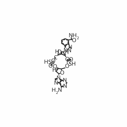 C=C1[C@H]2OP(=O)(S)OCC3O[C@@H](n4cnc5c(N)ncnc54)C[C@@H]3OP(=O)(S)OC[C@H]1O[C@H]2n1nnc2c(C(N)=O)cccc21